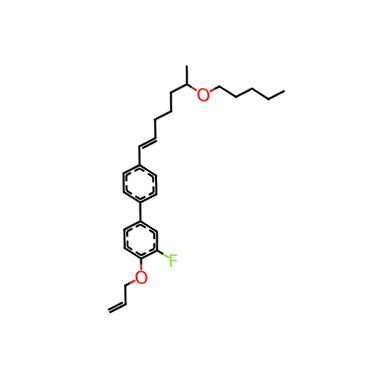 C=CCOc1ccc(-c2ccc(C=CCCCC(C)OCCCCC)cc2)cc1F